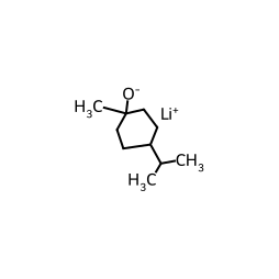 CC(C)C1CCC(C)([O-])CC1.[Li+]